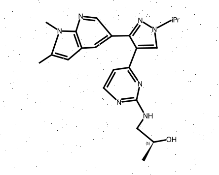 Cc1cc2cc(-c3nn(C(C)C)cc3-c3ccnc(NC[C@H](C)O)n3)cnc2n1C